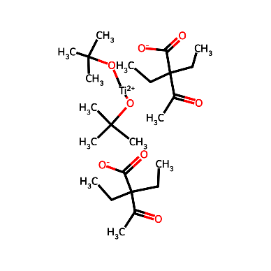 CC(C)(C)[O][Ti+2][O]C(C)(C)C.CCC(CC)(C(C)=O)C(=O)[O-].CCC(CC)(C(C)=O)C(=O)[O-]